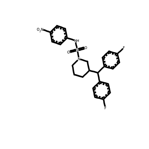 O=[N+]([O-])c1ccc(NS(=O)(=O)N2CCCC(C(c3ccc(F)cc3)c3ccc(F)cc3)C2)cc1